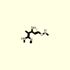 C=N/C(NC)=C(/C)C(N)/C=C/ONC